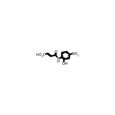 O=C(O)C=CC(=O)Nc1ccc([N+](=O)[O-])cc1O